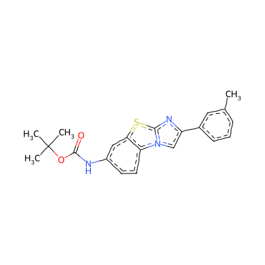 Cc1cccc(-c2cn3c(n2)sc2cc(NC(=O)OC(C)(C)C)ccc23)c1